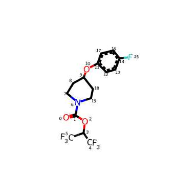 O=C(OC(C(F)(F)F)C(F)(F)F)N1CCC(Oc2ccc(F)cc2)CC1